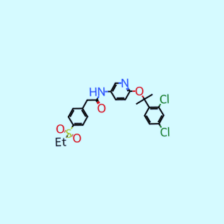 CCS(=O)(=O)c1ccc(CC(=O)Nc2ccc(OC(C)(C)c3ccc(Cl)cc3Cl)nc2)cc1